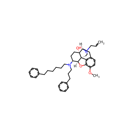 C=CCN1CC[C@]23c4c5ccc(OC)c4O[C@H]2[C@@H](N(CCCCCCc2ccccc2)CCCc2ccccc2)CC[C@@]3(O)[C@H]1C5